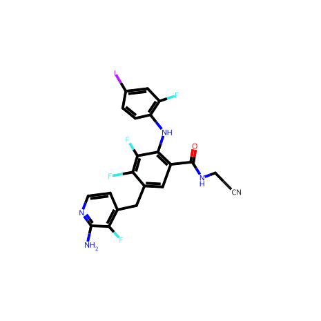 N#CCNC(=O)c1cc(Cc2ccnc(N)c2F)c(F)c(F)c1Nc1ccc(I)cc1F